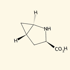 O=C(O)[C@H]1C[C@@H]2C[C@H]2N1